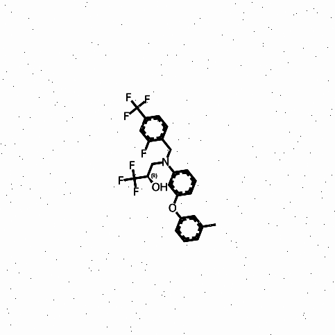 Cc1cccc(Oc2cccc(N(Cc3ccc(C(F)(F)F)cc3F)C[C@@H](O)C(F)(F)F)c2)c1